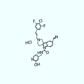 Cl.N#Cc1ccc2c(c1)c1c(n2C(=O)NCc2ccnc(O)c2)CCN(C/C=C/c2cc(F)c(Cl)c(F)c2)C1